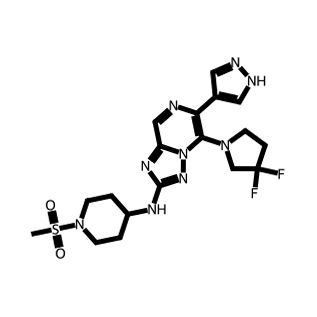 CS(=O)(=O)N1CCC(Nc2nc3cnc(-c4cn[nH]c4)c(N4CCC(F)(F)C4)n3n2)CC1